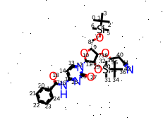 CC(C)(C)[Si](C)(C)OC[C@H]1O[C@@H](n2ccc(NC(=O)c3ccccc3)nc2=O)[C@H](O[Si](C)(C)C(C)(C)C)[C@@H]1OCCC#N